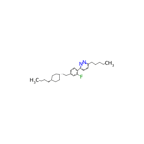 CCCCCc1ccc(-c2ccc(CC[C@H]3CC[C@H](CCCC)CC3)cc2F)nn1